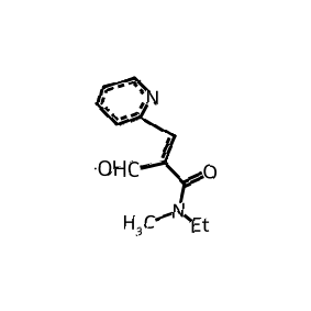 CCN(C)C(=O)/C([C]=O)=C/c1ccccn1